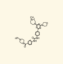 CCCN1CCN(C(=O)c2ccc(NC(=O)Nc3ccc(-c4nc(N5CCOCC5)nc(N5CCCN(C)CC5)n4)cc3)cc2)CC1